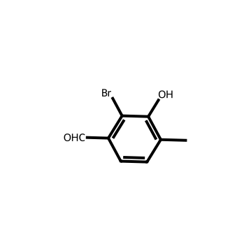 Cc1ccc(C=O)c(Br)c1O